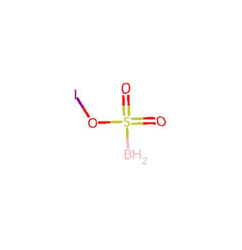 BS(=O)(=O)OI